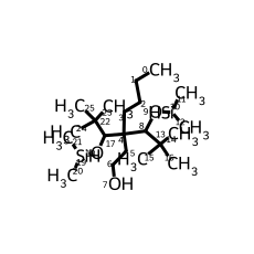 CCCCC(CCO)(C(O[SiH](C)C)C(C)(C)C)C(O[SiH](C)C)C(C)(C)C